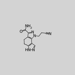 N#CCCn1nc(C(N)=O)c2c1-c1cn[nH]c1CC2